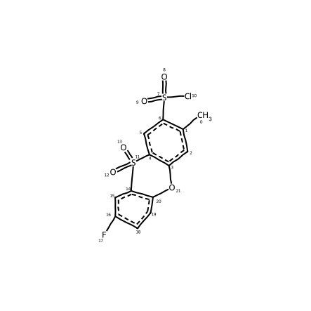 Cc1cc2c(cc1S(=O)(=O)Cl)S(=O)(=O)c1cc(F)ccc1O2